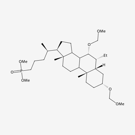 CC[C@H]1[C@@H](OCOC)C2C3CC[C@H]([C@H](C)CCCP(=O)(OC)OC)[C@@]3(C)CCC2[C@@]2(C)CC[C@@H](OCOC)C[C@@H]12